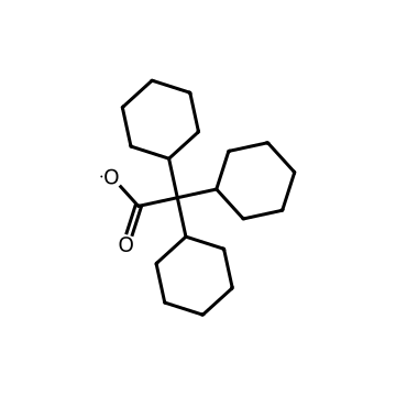 [O]C(=O)C(C1CCCCC1)(C1CCCCC1)C1CCCCC1